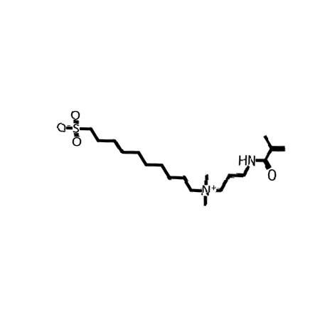 C=C(C)C(=O)NCCC[N+](C)(C)CCCCCCCCCCS(=O)(=O)[O-]